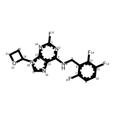 Fc1nc(NCc2c(F)ccc(F)c2F)c2ncn(C3CCO3)c2n1